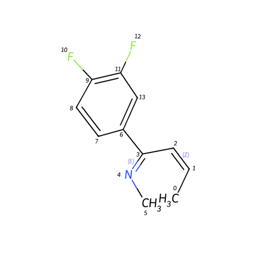 C/C=C\C(=N/C)c1ccc(F)c(F)c1